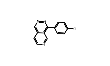 Clc1ccc(-c2nncc3ccncc23)cc1